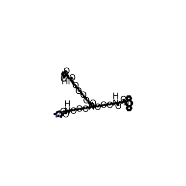 CC1/C=C/CC[C@H](OC(=O)NCCOCCOCCOCCN(CCOCCOCCOCCNC(=O)CCC(=O)N2Cc3ccccc3C#Cc3ccccc32)C(=O)CCOCCOCCOCCOCCNC(=O)CCN2C(=O)C=CC2=O)CC1